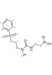 CCN(CC)CCNC(=O)N(CCCS(=O)(=O)c1ccccc1)C(C)C